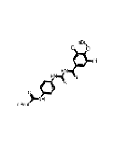 CCCCCC(=O)Nc1ccc(NC(=S)NC(=O)c2cc(Cl)c(OCCCC)c(Cl)c2)cc1